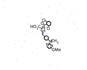 COc1ccnc(N(C)c2ccc(/C=C/CC(NC(=O)c3c(Cl)cccc3Cl)C(=O)O)cc2)n1